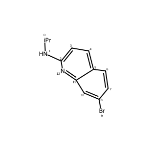 CC(C)Nc1ccc2ccc(Br)cc2n1